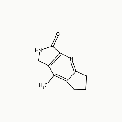 Cc1c2c(nc3c1CNC3=O)CCC2